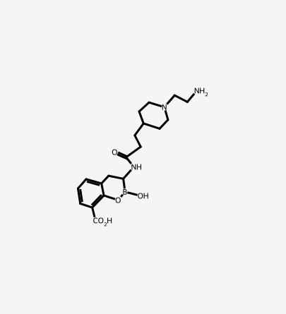 NCCN1CCC(CCC(=O)NC2Cc3cccc(C(=O)O)c3OB2O)CC1